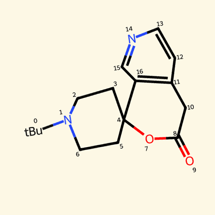 CC(C)(C)N1CCC2(CC1)OC(=O)Cc1ccncc12